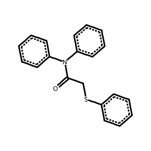 O=C(CSc1ccccc1)N(c1ccccc1)c1ccccc1